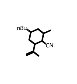 C=C(C)C1CC(CCCC)CC(C)C1C#N